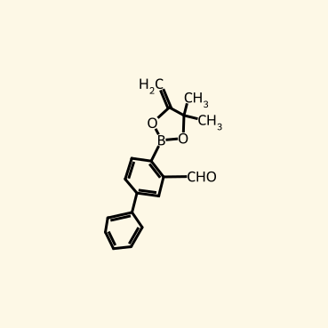 C=C1OB(c2ccc(-c3ccccc3)cc2C=O)OC1(C)C